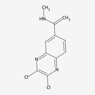 C=C(NC)c1ccc2nc(Cl)c(Cl)nc2c1